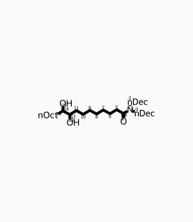 CCCCCCCCCCN(CCCCCCCCCC)C(=O)CCCCCCCC(O)C(O)CCCCCCCC